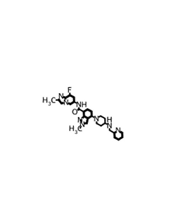 Cc1cn2cc(NC(=O)c3ccc(N4CCC(NCc5ccccn5)CC4)c4cn(C)nc34)cc(F)c2n1